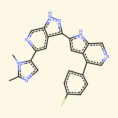 Cc1ncc(-c2cc3c(-c4cc5c(-c6ccc(F)cc6)cncc5[nH]4)n[nH]c3cn2)n1C